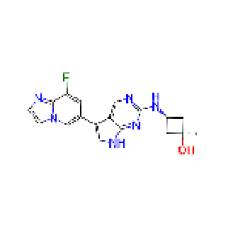 C[C@]1(O)C[C@@H](Nc2ncc3c(-c4cc(F)c5nccn5c4)c[nH]c3n2)C1